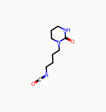 O=C=NCCCCN1CCCNC1=O